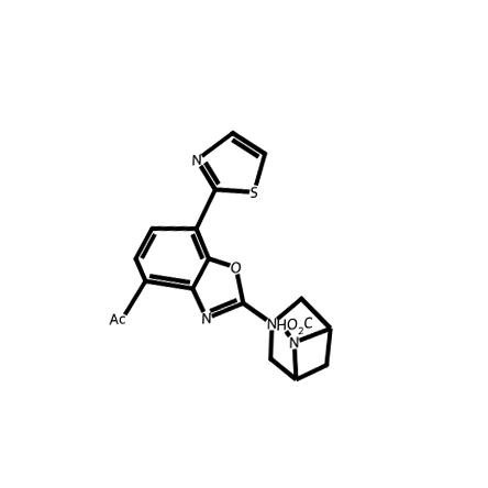 CC(=O)c1ccc(-c2nccs2)c2oc(N3CC4CC(C3)N4C(=O)O)nc12